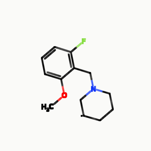 COc1cccc(F)c1CN1C[CH]CCC1